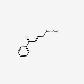 CCCCCSCC=CC(=O)c1ccccc1